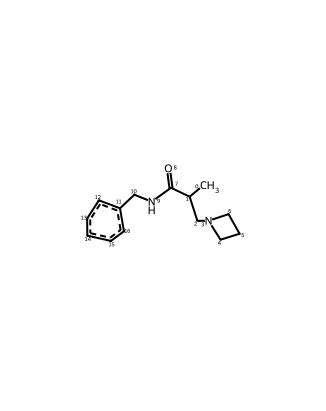 CC(CN1CCC1)C(=O)NCc1ccccc1